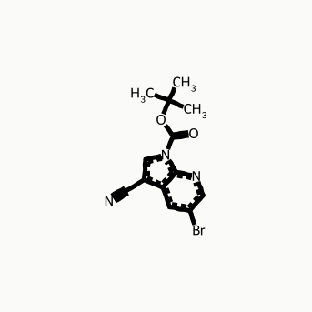 CC(C)(C)OC(=O)n1cc(C#N)c2cc(Br)cnc21